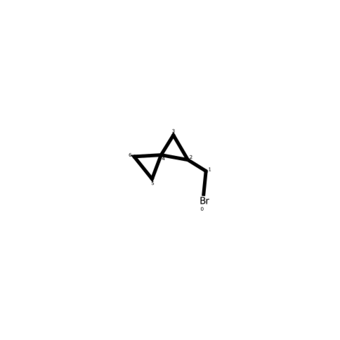 BrCC1CC12CC2